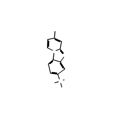 CCC[CH2][Sn]([CH2]CCC)([CH2]CCC)[c]1ccc2c(c1)nc1cc(NC)ccn12